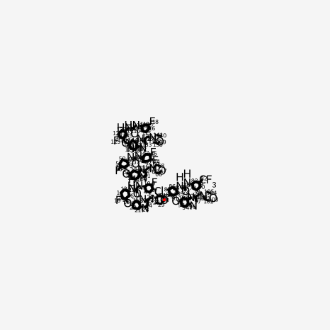 O=C(Nc1ccc(Cl)c(F)c1)Nc1ccc(F)c(Oc2ccc3ncc(CN4CCOCC4)nc3c2)c1.O=C(Nc1ccc(F)c(F)c1)Nc1ccc(F)c(Oc2ccc3ncc(CN4CCOCC4)nc3c2)c1.O=C(Nc1cccc(C(F)(F)F)c1)Nc1ccc(F)c(Oc2ccc3ncc(CN4CCOCC4)nc3c2)c1.O=C(Nc1cccc(F)c1)Nc1ccc(F)c(Oc2ccc3ncc(CN4CCOCC4)nc3c2)c1